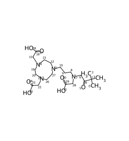 CC(C)(C)C(=O)CN(CCCN1CCN(CC(=O)O)CCN(CC(=O)O)CC1)CC(=O)O